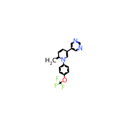 C=C1C=CC(c2cncnc2)=CN1c1ccc(OC(F)(F)F)cc1